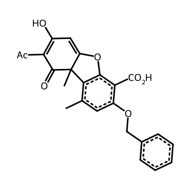 CC(=O)C1=C(O)C=C2Oc3c(C(=O)O)c(OCc4ccccc4)cc(C)c3C2(C)C1=O